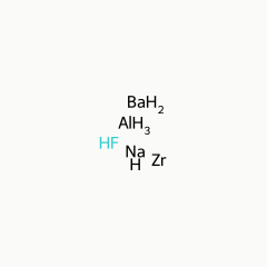 F.[AlH3].[BaH2].[NaH].[Zr]